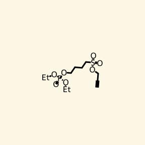 C#CCOS(=O)(=O)CCCCOP(=O)(OCC)OCC